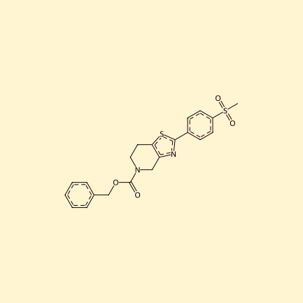 CS(=O)(=O)c1ccc(-c2nc3c(s2)CCN(C(=O)OCc2ccccc2)C3)cc1